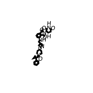 O=C1CCC(N2C(=O)c3cccc(NCc4cnn(C5CCN(C(=O)C6(c7ccccc7)CC6)CC5)c4)c3C2O)C(=O)N1